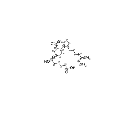 NN=C(N)N=CC=Cc1cccn1-c1ccccc1[N+](=O)[O-].O=C(O)CCCCC(=O)O